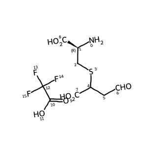 N[C@@H](CSC(CC=O)C(=O)O)C(=O)O.O=C(O)C(F)(F)F